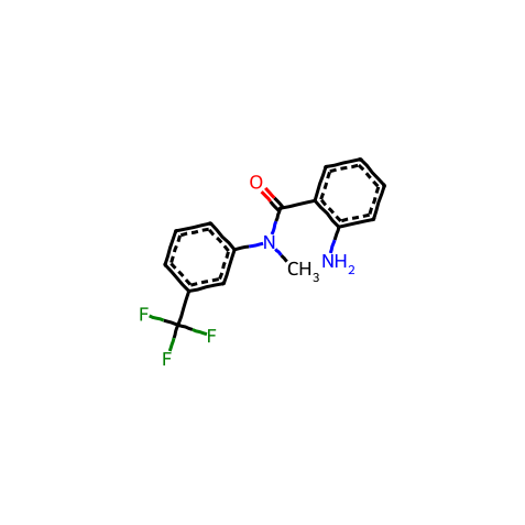 CN(C(=O)c1ccccc1N)c1cccc(C(F)(F)F)c1